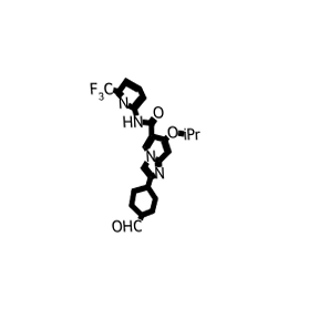 CC(C)Oc1cc2nc(C3CCC(C=O)CC3)cn2cc1C(=O)Nc1cccc(C(F)(F)F)n1